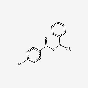 Cc1ccc(S(=O)ON(C)c2ccccc2)cc1